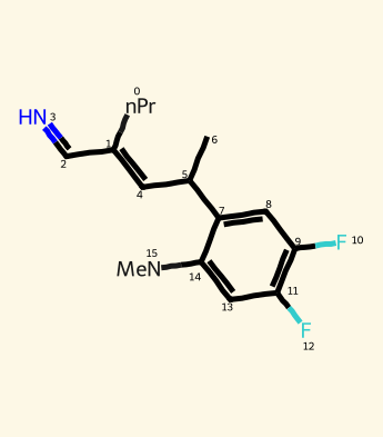 CCC/C(C=N)=C\C(C)c1cc(F)c(F)cc1NC